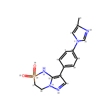 Cc1cn(-c2ccc(-c3cnn4c3NS(=O)(=O)CC4)cc2)cn1